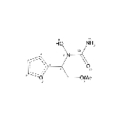 COCC(c1ccco1)N(O)C(N)=O